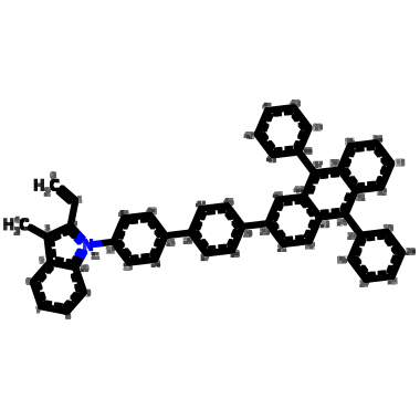 C=Cc1c(C)c2ccccc2n1-c1ccc(-c2ccc(-c3ccc4c(-c5ccccc5)c5ccccc5c(-c5ccccc5)c4c3)cc2)cc1